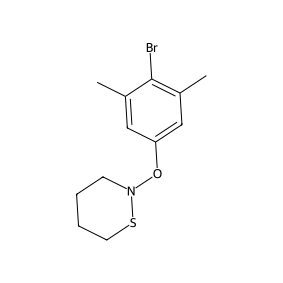 Cc1cc(ON2CCCCS2)cc(C)c1Br